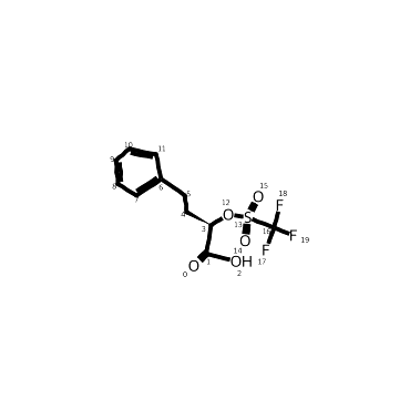 O=C(O)[C@@H](CCc1ccccc1)OS(=O)(=O)C(F)(F)F